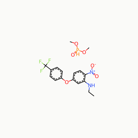 CCNc1cc(Oc2ccc(C(F)(F)F)cc2)ccc1[N+](=O)[O-].CO[PH](=O)OC